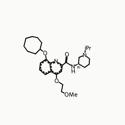 COCCOc1cc(C(=O)N[C@@H]2CCCN(C(C)C)C2)nc2c(OC3CCCCCCC3)cccc12